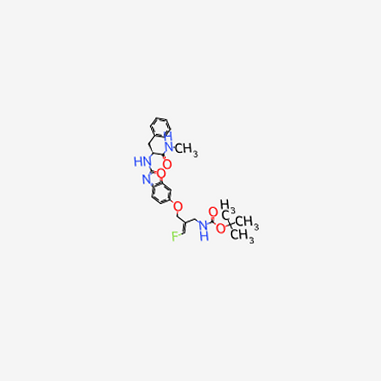 CNC(=O)[C@H](Cc1ccccc1)Nc1nc2ccc(OC/C(=C\F)CNC(=O)OC(C)(C)C)cc2o1